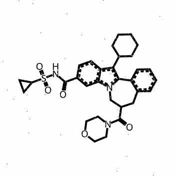 O=C(NS(=O)(=O)C1CC1)c1ccc2c(C3CCCCC3)c3n(c2c1)CC(C(=O)N1CCOCC1)Cc1ccccc1-3